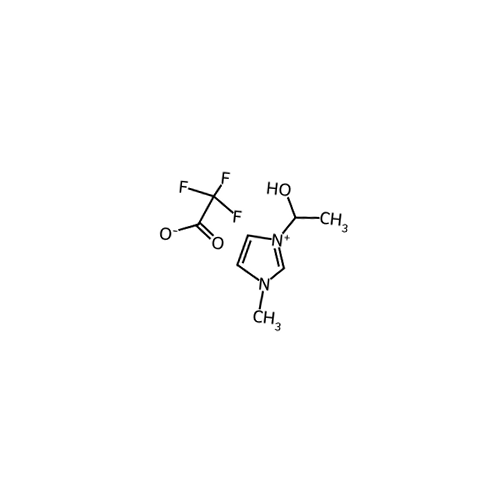 CC(O)[n+]1ccn(C)c1.O=C([O-])C(F)(F)F